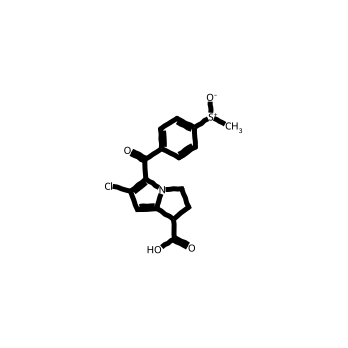 C[S+]([O-])c1ccc(C(=O)c2c(Cl)cc3n2CCC3C(=O)O)cc1